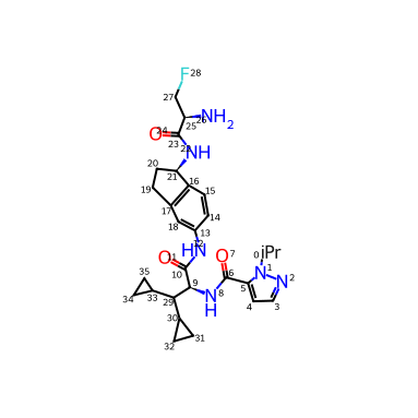 CC(C)n1nccc1C(=O)N[C@H](C(=O)Nc1ccc2c(c1)CC[C@H]2NC(=O)[C@H](N)CF)C(C1CC1)C1CC1